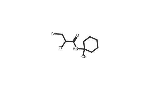 N#CC1(NC(=O)C(Cl)CBr)CCCCC1